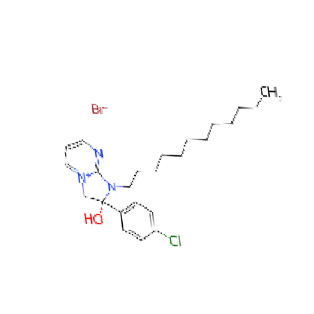 CCCCCCCCCCCCN1c2nccc[n+]2CC1(O)c1ccc(Cl)cc1.[Br-]